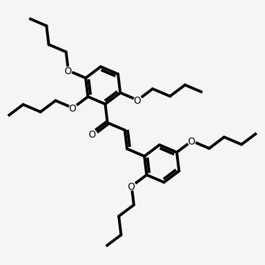 CCCCOc1ccc(OCCCC)c(/C=C/C(=O)c2c(OCCCC)ccc(OCCCC)c2OCCCC)c1